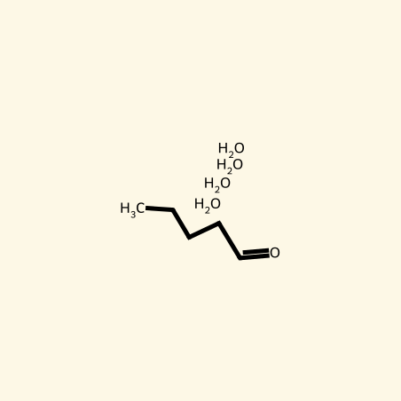 CCCCC=O.O.O.O.O